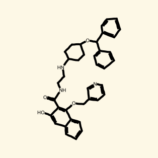 O=C(NCCNC1CCC(OC(c2ccccc2)c2ccccc2)CC1)c1c(O)cc2ccccc2c1OCc1cccnc1